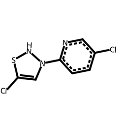 ClC1=CN(c2ccc(Cl)cn2)NS1